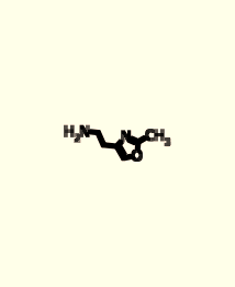 Cc1nc(CCN)co1